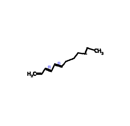 C=C/C=C/C=C/CCC[CH]CC